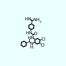 CC(Nc1cc(Cl)c(Cl)cc1NC(=O)Nc1ccc(C(=N)N)cc1)c1ccccc1